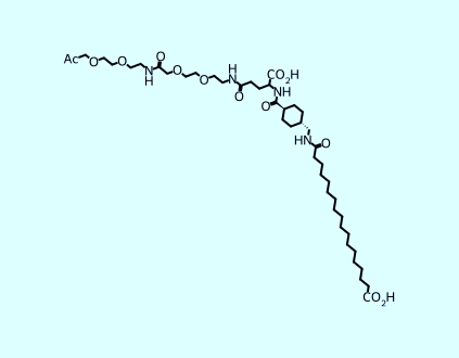 CC(=O)COCCOCCNC(=O)COCCOCCNC(=O)CCC(NC(=O)[C@H]1CC[C@H](CNC(=O)CCCCCCCCCCCCCCCCC(=O)O)CC1)C(=O)O